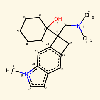 CN(C)CC1(C2(O)CCCCC2)Cc2cc3ccn(C)c3cc21